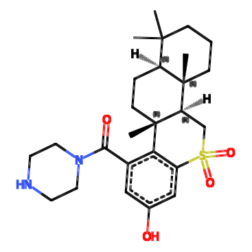 CC1(C)CCC[C@]2(C)[C@H]3CS(=O)(=O)c4cc(O)cc(C(=O)N5CCNCC5)c4[C@]3(C)CC[C@@H]12